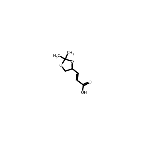 CC1(C)OCC(C=CC(=O)O)O1